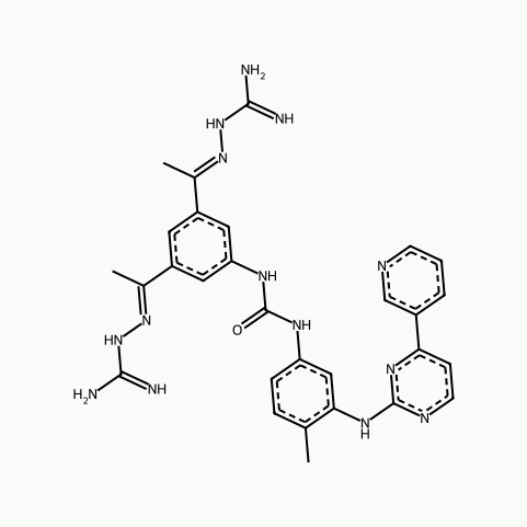 C/C(=N\NC(=N)N)c1cc(NC(=O)Nc2ccc(C)c(Nc3nccc(-c4cccnc4)n3)c2)cc(/C(C)=N/NC(=N)N)c1